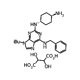 CCC(C)n1cnc2c(NCc3ccccc3)nc(N[C@H]3CC[C@H](N)CC3)nc21.O=C(O)C(O)C(O)C(=O)O